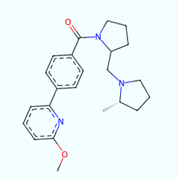 COc1cccc(-c2ccc(C(=O)N3CCCC3CN3CCC[C@@H]3C)cc2)n1